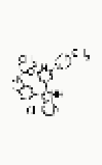 C=CC(=O)N1CCc2ccc(-c3c(-c4ccnc(N5CCN(C)CC5)c4)[nH]c4nccc(Cl)c34)cc21